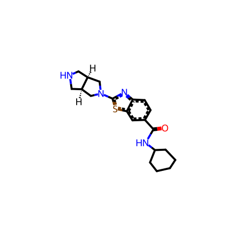 O=C(NC1CCCCC1)c1ccc2nc(N3C[C@H]4CNC[C@H]4C3)sc2c1